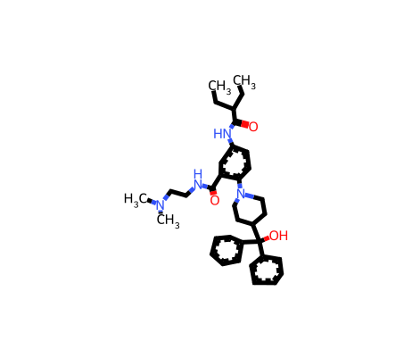 CCC(CC)C(=O)Nc1ccc(N2CCC(C(O)(c3ccccc3)c3ccccc3)CC2)c(C(=O)NCCN(C)C)c1